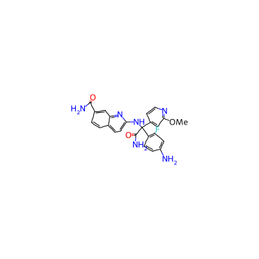 COc1cc(C(Nc2ccc3ccc(C(N)=O)cc3n2)(C(N)=O)c2ccc(N)cc2F)ccn1